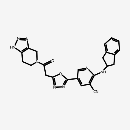 N#Cc1cc(-c2nnc(CC(=O)N3CCc4[nH]nnc4C3)o2)cnc1NC1Cc2ccccc2C1